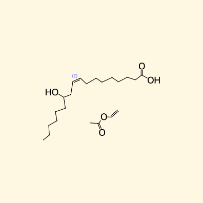 C=COC(C)=O.CCCCCCC(O)C/C=C\CCCCCCCC(=O)O